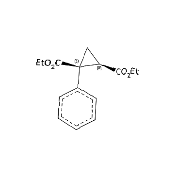 CCOC(=O)[C@@H]1C[C@@]1(C(=O)OCC)c1ccccc1